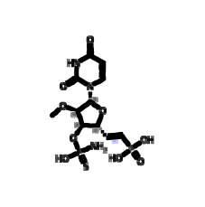 CO[C@@H]1[C@H](OP(N)(O)=S)[C@@H](/C=C/P(=O)(O)O)O[C@H]1n1ccc(=O)[nH]c1=O